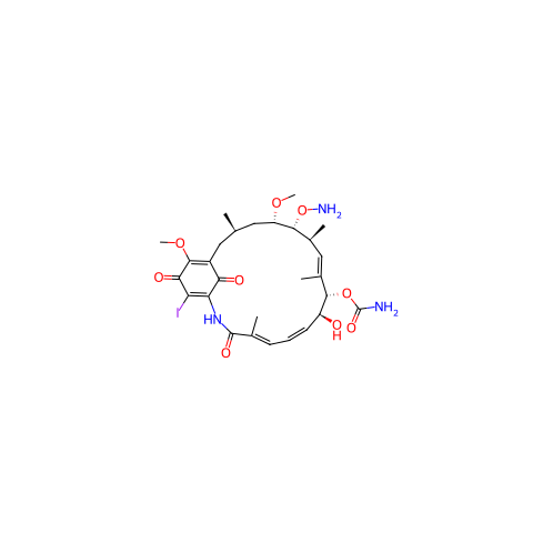 COC1=C2C[C@@H](C)C[C@H](OC)[C@H](ON)[C@@H](C)/C=C(\C)[C@H](OC(N)=O)[C@@H](O)/C=C\C=C(/C)C(=O)NC(=C(I)C1=O)C2=O